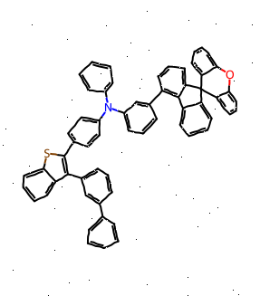 c1ccc(-c2cccc(-c3c(-c4ccc(N(c5ccccc5)c5cccc(-c6cccc7c6-c6ccccc6C76c7ccccc7Oc7ccccc76)c5)cc4)sc4ccccc34)c2)cc1